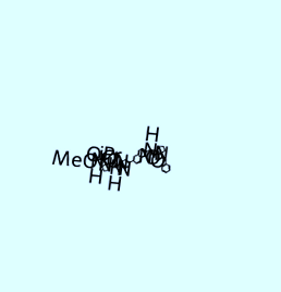 COC(=O)N[C@H](C(=O)N1CCC[C@H]1C(=O)Nc1ncc(-c2ccc3nc(NC(=O)[C@@H]4CCCN4C(=O)Cc4ccccc4)ccc3c2)cn1)C(C)C